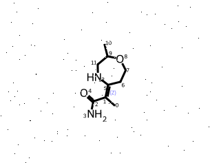 C/C(C(N)=O)=C1\CCOC(C)CN1